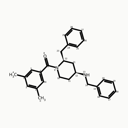 Cc1cc(C)cc(C(=O)N2CC[C@H](NCc3ccccc3)C[C@@H]2Cc2ccccc2)c1